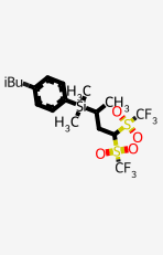 CCC(C)c1ccc([Si](C)(C)C(C)CC(S(=O)(=O)C(F)(F)F)S(=O)(=O)C(F)(F)F)cc1